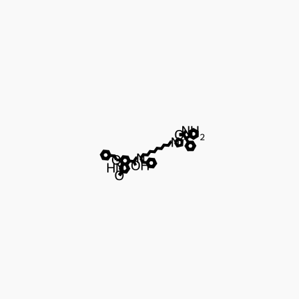 NC(=O)C(c1ccccc1)(c1ccccc1)[C@@H]1CCN(CCCCCCCCCN(Cc2ccccc2)CC(O)c2ccc(OCc3ccccc3)c3[nH]c(=O)ccc23)C1